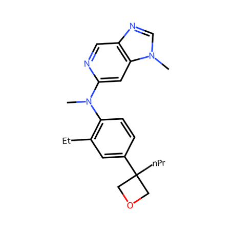 CCCC1(c2ccc(N(C)c3cc4c(cn3)ncn4C)c(CC)c2)COC1